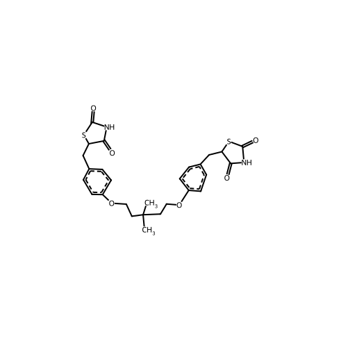 CC(C)(CCOc1ccc(CC2SC(=O)NC2=O)cc1)CCOc1ccc(CC2SC(=O)NC2=O)cc1